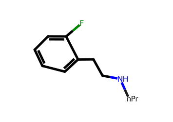 CCCNCCc1ccccc1F